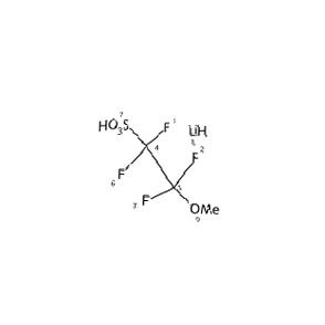 COC(F)(F)C(F)(F)S(=O)(=O)O.[LiH]